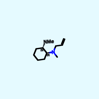 C=CCN(C)[C@H]1CCCC[C@@H]1NC